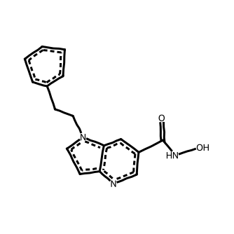 O=C(NO)c1cnc2ccn(CCc3ccccc3)c2c1